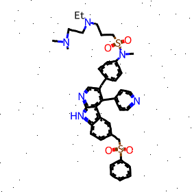 CCN(CCCS(=O)(=O)N(C)c1ccc(-c2cnc3[nH]c4ccc(CS(=O)(=O)c5ccccc5)cc4c3c2-c2ccncc2)cc1)CCN(C)C